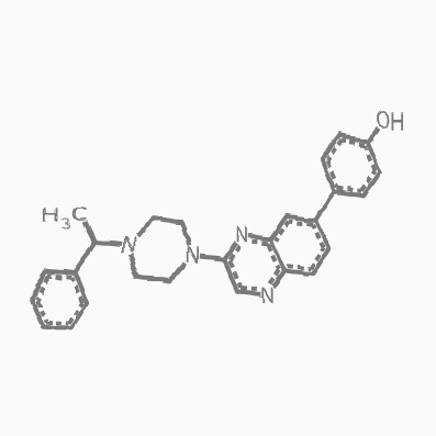 CC(c1ccccc1)N1CCN(c2cnc3ccc(-c4ccc(O)cc4)cc3n2)CC1